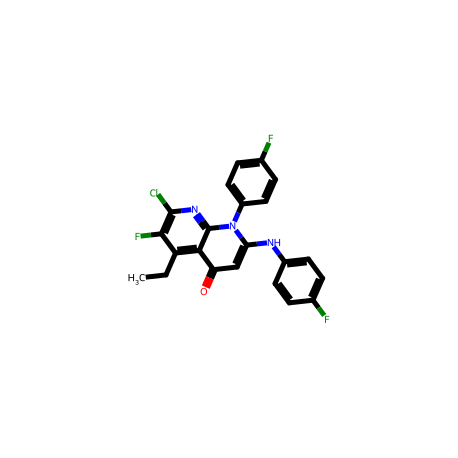 CCc1c(F)c(Cl)nc2c1c(=O)cc(Nc1ccc(F)cc1)n2-c1ccc(F)cc1